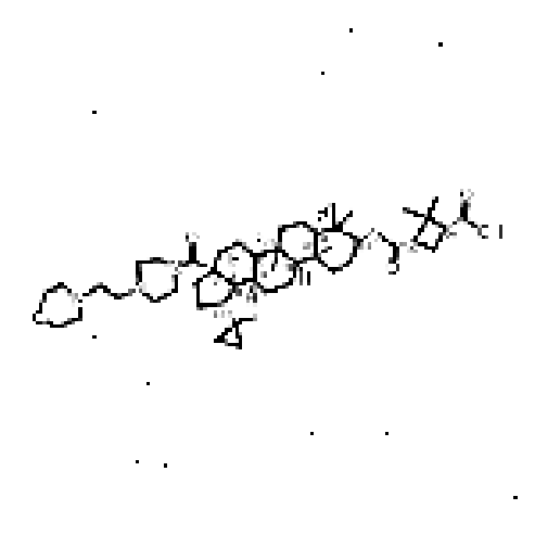 CC1([C@@H]2CC[C@]3(C(=O)N4CCN(CCN5CCOCC5)CC4)CC[C@]4(C)[C@H](CC[C@@H]5[C@@]6(C)CC[C@H](OC(=O)[C@H]7C[C@@H](C(=O)O)C7(C)C)C(C)(C)[C@@H]6CC[C@]54C)[C@@H]23)CC1